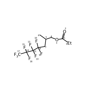 CCC(=O)OCC(C)CC(F)(F)C(F)(F)C(F)(F)C(F)(F)F